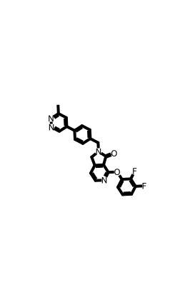 Cc1cc(-c2ccc(CN3Cc4ccnc(Oc5cccc(F)c5F)c4C3=O)cc2)cnn1